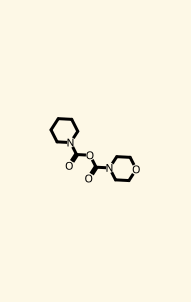 O=C(OC(=O)N1CCOCC1)N1CCCCC1